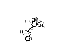 CC(COC1CC(C)(C)N([O])C(C)(C)C1)OC1CCCCO1